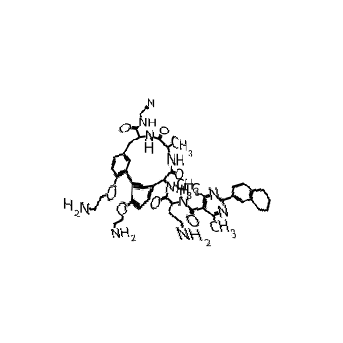 Cc1nc(-c2ccc3c(c2)CCCC3)nc(C)c1C(=O)NC(CCN)C(=O)N(C)C1C(=O)NC(C)C(=O)NC(C(=O)NCC#N)Cc2ccc(OCCN)c(c2)-c2cc1ccc2OCCN